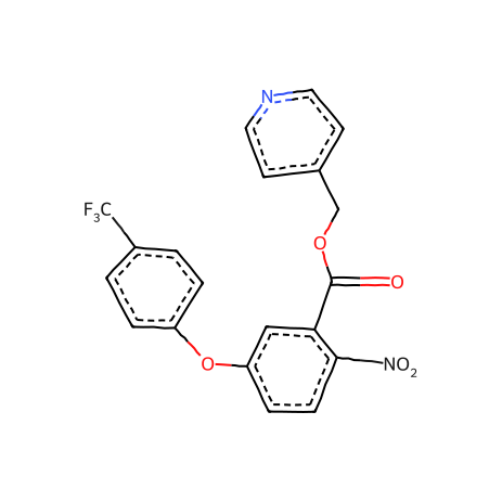 O=C(OCc1ccncc1)c1cc(Oc2ccc(C(F)(F)F)cc2)ccc1[N+](=O)[O-]